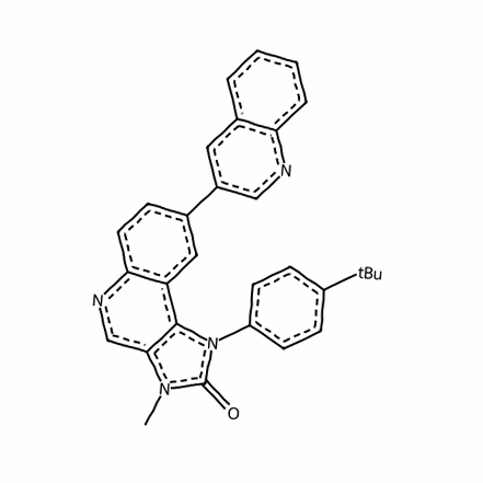 Cn1c(=O)n(-c2ccc(C(C)(C)C)cc2)c2c3cc(-c4cnc5ccccc5c4)ccc3ncc21